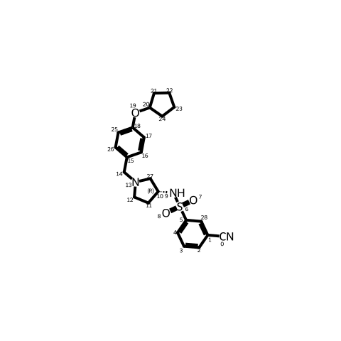 N#Cc1cccc(S(=O)(=O)N[C@@H]2CCN(Cc3ccc(OC4CCCC4)cc3)C2)c1